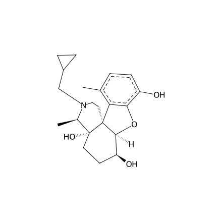 Cc1ccc(O)c2c1[C@]13CCN(CC4CC4)[C@H](C)[C@]1(O)CC[C@H](O)[C@@H]3O2